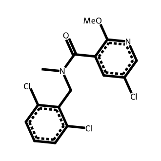 COc1ncc(Cl)cc1C(=O)N(C)Cc1c(Cl)cccc1Cl